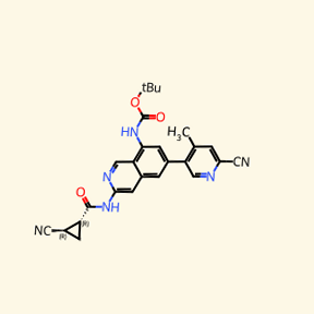 Cc1cc(C#N)ncc1-c1cc(NC(=O)OC(C)(C)C)c2cnc(NC(=O)[C@@H]3C[C@H]3C#N)cc2c1